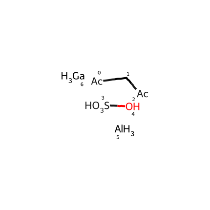 CC(=O)CC(C)=O.O=S(=O)(O)O.[AlH3].[GaH3]